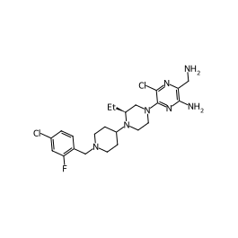 CC[C@H]1CN(c2nc(N)c(CN)nc2Cl)CCN1C1CCN(Cc2ccc(Cl)cc2F)CC1